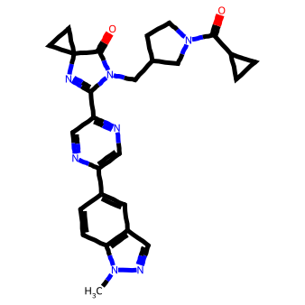 Cn1ncc2cc(-c3cnc(C4=NC5(CC5)C(=O)N4CC4CCN(C(=O)C5CC5)C4)cn3)ccc21